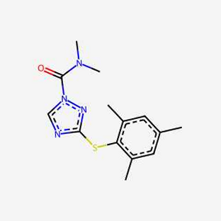 Cc1cc(C)c(Sc2ncn(C(=O)N(C)C)n2)c(C)c1